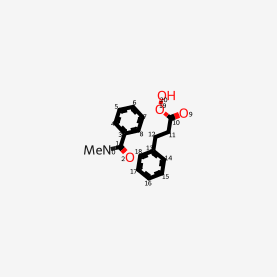 CNC(=O)c1ccccc1.O=C(CCc1ccccc1)OO